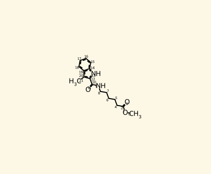 COC(=O)CCCCCNC(=O)c1[nH]c2ccccc2c1C